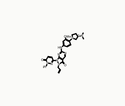 C=CCn1c(=O)c2cnc(Nc3ccc(N4CC[C@@H](N(C)C)C4)c(OC)c3)nc2n1-c1ccc(=O)n(C(C)C)n1